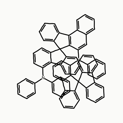 c1ccc(N(c2ccccc2)c2cccc3c2-c2ccccc2C32c3ccccc3-c3c2c(N(c2ccccc2)c2cccc4c2C2(c5ccccc5-c5ccccc52)c2ccccc2-4)cc2ccccc32)cc1